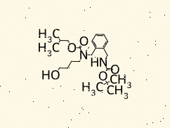 CC(C)COC(=O)N(CCCCO)Cc1ccccc1CNC(=O)OC(C)(C)C